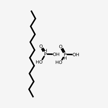 CCCCCCCCCCCC.O=[PH](O)O.O=[PH](O)O